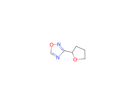 c1nc(C2CCCO2)no1